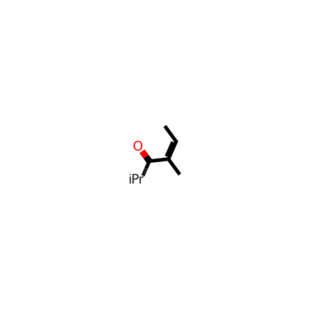 C/C=C(/C)C(=O)C(C)C